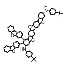 CC(C)(C)c1ccc(Nc2ccc3c(c2)oc2cc4c(cc23)oc2cc3c(cc24)oc2cc(Nc4ccc(C(C)(C)C)cc4)c(-c4ccc5c(c4)oc4ccccc45)c(-c4ccc5c(c4)oc4ccccc45)c23)cc1